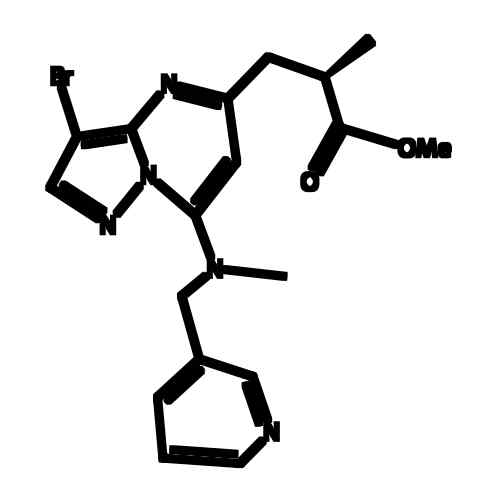 COC(=O)[C@H](C)Cc1cc(N(C)Cc2cccnc2)n2ncc(Br)c2n1